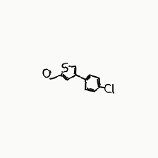 O=Cc1cc(-c2ccc(Cl)cc2)cs1